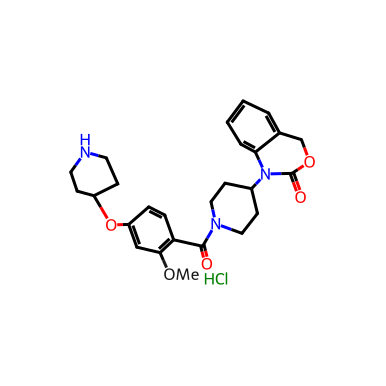 COc1cc(OC2CCNCC2)ccc1C(=O)N1CCC(N2C(=O)OCc3ccccc32)CC1.Cl